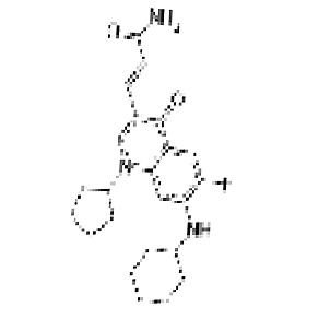 NC(=O)C=Cc1cn(C2CCCC2)c2cc(NC3CCCCC3)c(F)cc2c1=O